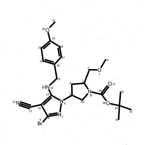 COCC1CC(n2nc(Br)c(C#N)c2NCc2ccc(OC)cc2)CN1C(=O)OC(C)(C)C